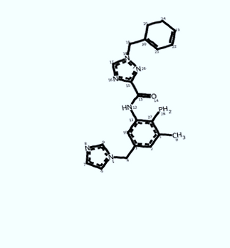 Cc1cc(Cn2ccnc2)cc(NC(=O)c2ncn(CC3=CC=CCC3)n2)c1P